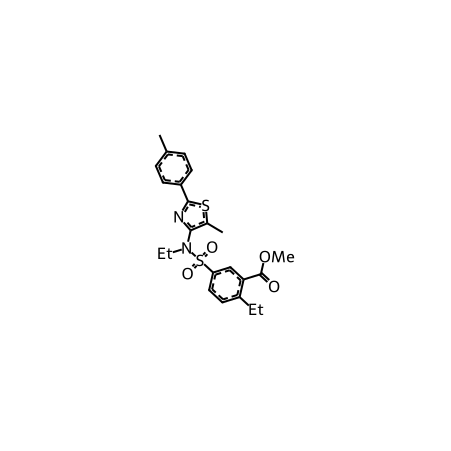 CCc1ccc(S(=O)(=O)N(CC)c2nc(-c3ccc(C)cc3)sc2C)cc1C(=O)OC